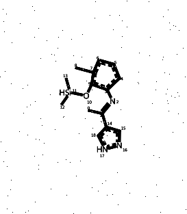 CC(=Nc1cccc(C)c1O[SiH](C)C)c1cn[nH]c1